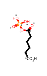 O=C(O)CCCCC(=O)OP(=O)(O)O